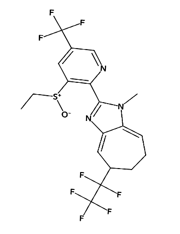 CC[S+]([O-])c1cc(C(F)(F)F)cnc1-c1nc2c(n1C)=CCCC(C(F)(F)C(F)(F)F)C=2